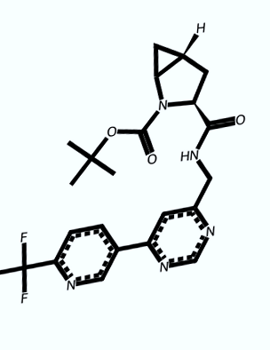 CC(C)(C)OC(=O)N1C2C[C@@H]2C[C@H]1C(=O)NCc1cc(-c2ccc(C(F)(F)F)nc2)ncn1